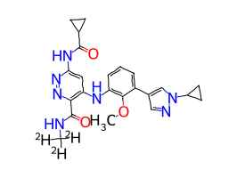 [2H]C([2H])([2H])NC(=O)c1nnc(NC(=O)C2CC2)cc1Nc1cccc(-c2cnn(C3CC3)c2)c1OC